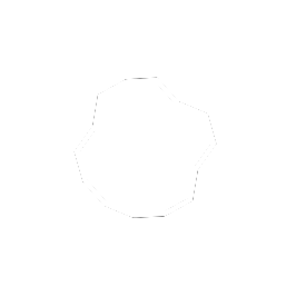 [C]1=C/C=C\C/C=C\C=C\CC/C=C/C/1